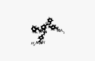 N=C(N)c1ccc(CCc2nc3cc(C(=O)N(Cc4ccccc4)Cc4ccc(CN)cc4)ccc3n2CCc2ccccc2)cc1